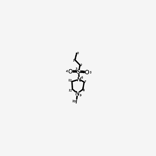 CCCS(=O)(=O)N1CCN(I)CC1